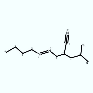 CCCCN=NCC(C#N)CC(C)C